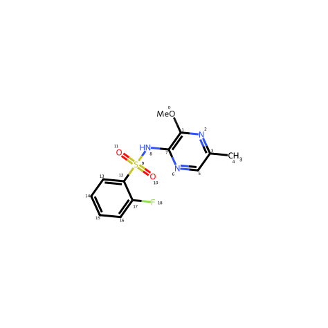 COc1nc(C)cnc1NS(=O)(=O)c1ccccc1F